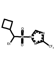 CCC(C1CCC1)S(=O)(=O)n1cnc(C(F)(F)F)n1